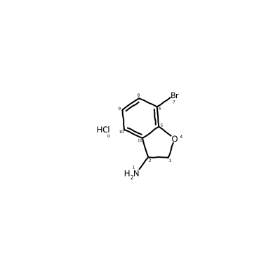 Cl.NC1COc2c(Br)cccc21